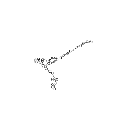 COCCOCCCC1(CCCOCCOCCOCCOCCOCCOCCOCCOCCOCCOCCOCCOC)c2cc(B3OC(C)(C)C(C)(C)O3)ccc2-c2ccc(-c3ccc(OCCCCNC(=O)C4CCC(CN5C(=O)C=CC5=O)CC4)cc3)cc21